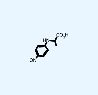 CC(Nc1ccc(N=O)cc1)C(=O)O